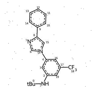 CC(C)(C)Nc1cc(-n2cnc(-c3ccccc3)c2)cc(C(F)(F)F)c1